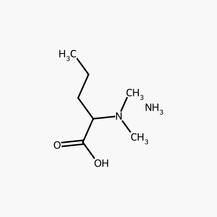 CCCC(C(=O)O)N(C)C.N